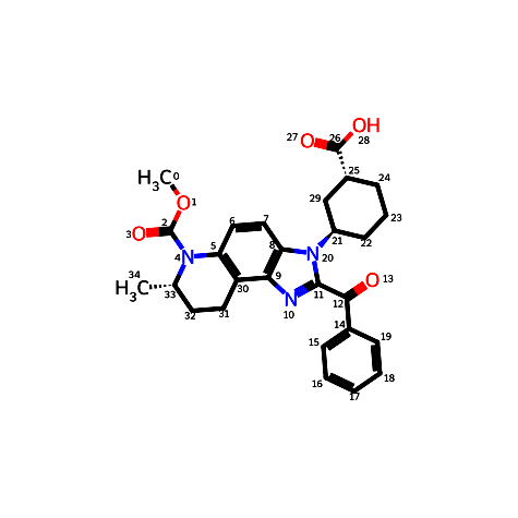 COC(=O)N1c2ccc3c(nc(C(=O)c4ccccc4)n3[C@@H]3CCC[C@@H](C(=O)O)C3)c2CC[C@@H]1C